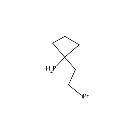 CC(C)CCC1(P)CCC1